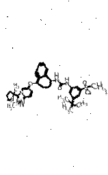 CN1CCCC1(C)c1nnc2ccc(O[C@@H]3CC[C@H](NC(=O)Nc4cc(C(C)(C)C)cc(S(C)(=O)=O)c4)c4ccccc43)cn12